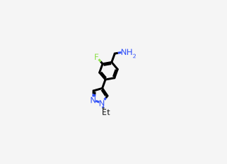 CCn1cc(-c2ccc(CN)c(F)c2)cn1